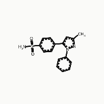 Cc1cc(-c2ccc(S(N)(=O)=O)cc2)n(-c2ccccc2)n1